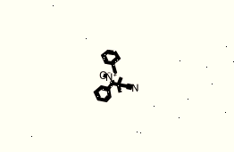 CC(C)(C#N)/C(c1ccccc1)=[N+](/[O-])Cc1ccccc1